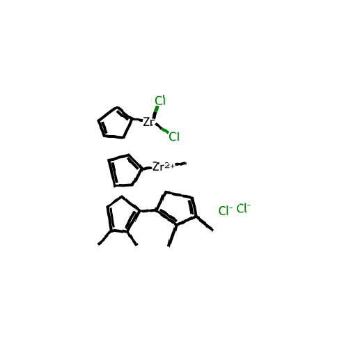 CC1=CCC(C2=C(C)C(C)=CC2)=C1C.[CH3][Zr+2][C]1=CC=CC1.[Cl-].[Cl-].[Cl][Zr]([Cl])[C]1=CC=CC1